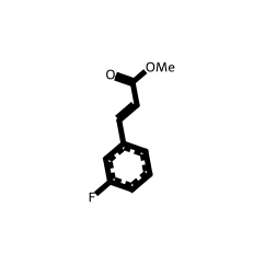 COC(=O)/C=C/c1cc[c]c(F)c1